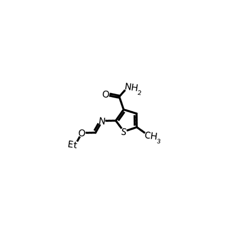 CCO/C=N/c1sc(C)cc1C(N)=O